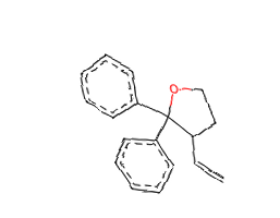 C=CC1CCOC1(c1ccccc1)c1ccccc1